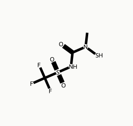 CN(S)C(=O)NS(=O)(=O)C(F)(F)F